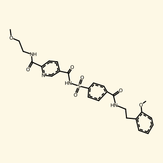 COCCNC(=O)c1ccc(C(=O)NS(=O)(=O)c2ccc(C(=O)NCCc3ccccc3OC)cc2)cn1